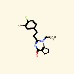 O=C(O)Cn1c(CCc2ccc(F)c(Cl)c2)nc(=O)c2c1CCC2